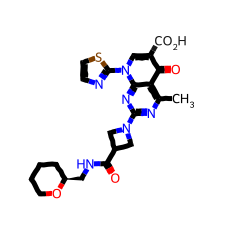 Cc1nc(N2CC(C(=O)NC[C@@H]3CCCCO3)C2)nc2c1c(=O)c(C(=O)O)cn2-c1nccs1